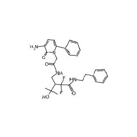 CC(C)(O)C(CNC(=O)Cn1c(-c2ccccc2)ccc(N)c1=O)C(F)(F)C(=O)NCCc1ccccc1